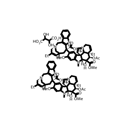 CCC1=C[C@@H]2C[N@](C1)Cc1c([nH]c3ccccc13)[C@@](C(=O)OC)(c1cc3c(cc1OC)N(C)[C@H]1[C@@](O)(C(=O)OC)[C@H](OC(C)=O)[C@]4(CC)C=CCN5CC[C@]31[C@@H]54)C2.CCC1=C[C@@H]2C[N@](C1)Cc1c([nH]c3ccccc13)[C@@](C(=O)OC)(c1cc3c(cc1OC)N(C)[C@H]1[C@@](O)(C(=O)OC)[C@H](OC(C)=O)[C@]4(CC)C=CCN5CC[C@]31[C@@H]54)C2.O=C(O)C(O)C(O)C(=O)O